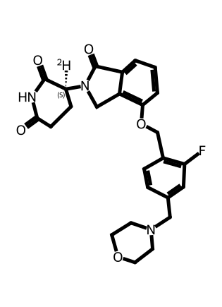 [2H][C@]1(N2Cc3c(OCc4ccc(CN5CCOCC5)cc4F)cccc3C2=O)CCC(=O)NC1=O